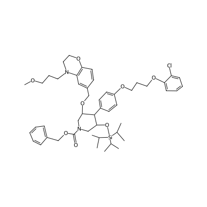 COCCCN1CCOc2ccc(COC3CN(C(=O)OCc4ccccc4)CC(O[Si](C(C)C)(C(C)C)C(C)C)C3c3ccc(OCCCOc4ccccc4Cl)cc3)cc21